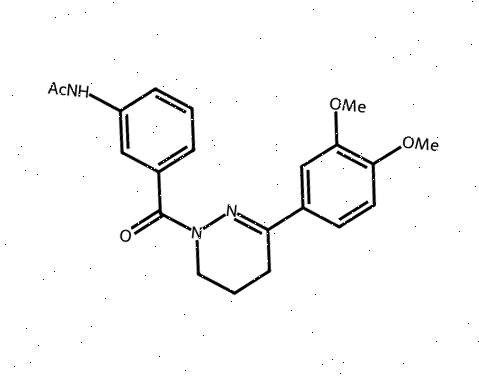 COc1ccc(C2=NN(C(=O)c3cccc(NC(C)=O)c3)CCC2)cc1OC